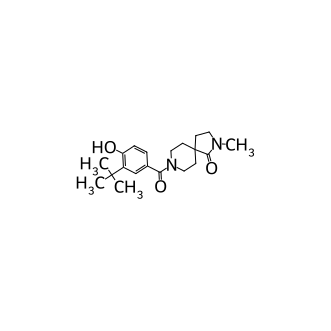 CN1CCC2(CCN(C(=O)c3ccc(O)c(C(C)(C)C)c3)CC2)C1=O